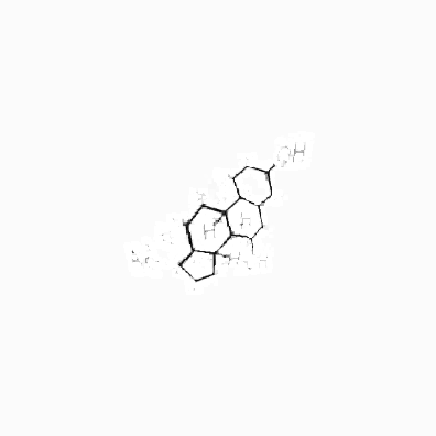 CC(=O)[C@H]1CC[C@H]2[C@@H]3C(O)CC4CC(O)CC[C@]4(C)[C@H]3CC[C@]12C